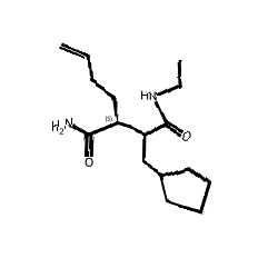 C=CCC[C@H](C(N)=O)C(CC1CCCC1)C(=O)NCC